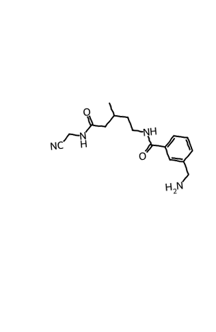 CC(CCNC(=O)c1cccc(CN)c1)CC(=O)NCC#N